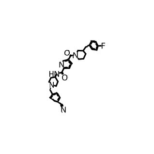 N#Cc1ccc(CN2CCC(NC(=O)c3ccc(C(=O)N4CCCC(Cc5ccc(F)cc5)C4)cn3)CC2)cc1